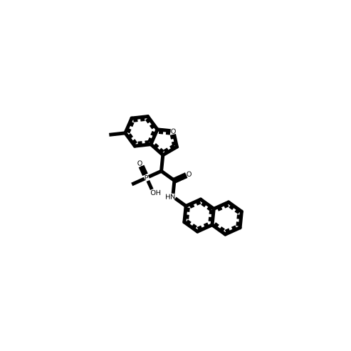 Cc1ccc2occ(C(C(=O)Nc3ccc4ccccc4c3)P(C)(=O)O)c2c1